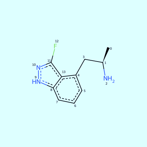 C[C@@H](N)Cc1cccc2[nH]nc(F)c12